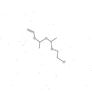 C=COC(C)OC(C)OCCCl